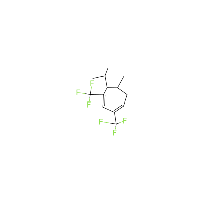 CC(C)C1C(C(F)(F)F)=CC(C(F)(F)F)=CCC1C